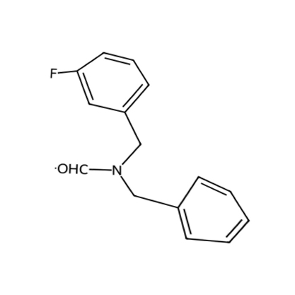 O=[C]N(Cc1ccccc1)Cc1cccc(F)c1